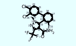 Cn1nc(C(F)(F)F)c(C(N)=O)c1-c1c(F)cccc1-c1ccc(Cl)c(Cl)c1